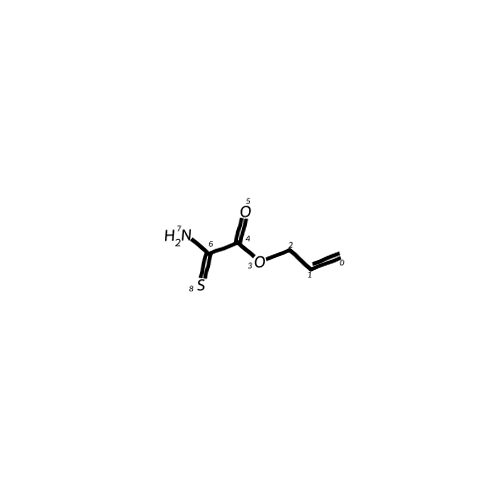 C=CCOC(=O)C(N)=S